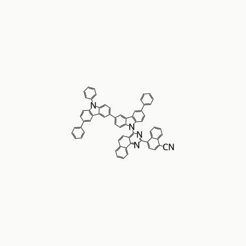 N#Cc1ccc(-c2nc(-n3c4ccc(-c5ccccc5)cc4c4cc(-c5ccc6c(c5)c5cc(-c7ccccc7)ccc5n6-c5ccccc5)ccc43)c3ccc4ccccc4c3n2)c2ccccc12